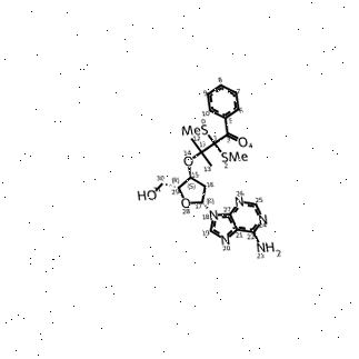 CSC(SC)(C(=O)c1ccccc1)C(C)(C)O[C@H]1C[C@H](n2cnc3c(N)ncnc32)O[C@@H]1CO